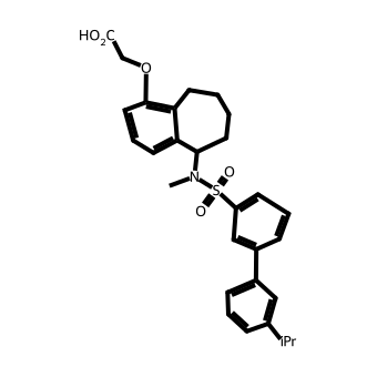 CC(C)c1cccc(-c2cccc(S(=O)(=O)N(C)C3CCCCc4c(OCC(=O)O)cccc43)c2)c1